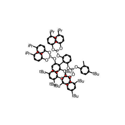 Cc1cc(C(C)(C)C)ccc1OP(Oc1ccc(C(C)(C)C)cc1C(C)(C)C)Oc1cccc(OP(Oc2ccc(C(C)C)cc2)Oc2ccc(C(C)C)cc2)c1-c1c(OP(Oc2ccc(C(C)C)cc2)Oc2ccc(C(C)C)cc2)cccc1OP(Oc1ccc(C(C)(C)C)cc1C(C)(C)C)Oc1ccc(C(C)(C)C)cc1C(C)(C)C